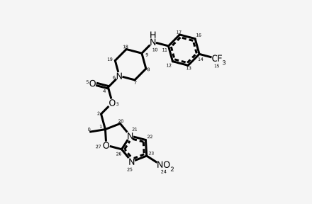 CC1(COC(=O)N2CCC(Nc3ccc(C(F)(F)F)cc3)CC2)Cn2cc([N+](=O)[O-])nc2O1